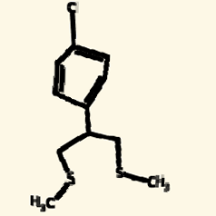 CSCC(CSC)c1ccc(Cl)cc1